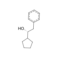 O[C@H](Cc1ccccc1)C1CCCC1